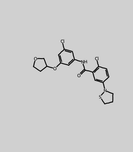 O=C(Nc1cc(Cl)cc(OC2CCOC2)c1)c1cc(N2CCCS2)ccc1Cl